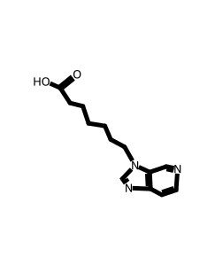 O=C(O)CCCCCCn1cnc2ccncc21